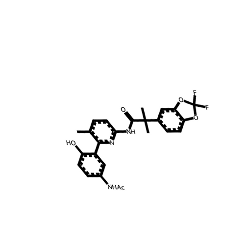 CC(=O)Nc1ccc(O)c(-c2nc(NC(=O)C(C)(C)c3ccc4c(c3)OC(F)(F)O4)ccc2C)c1